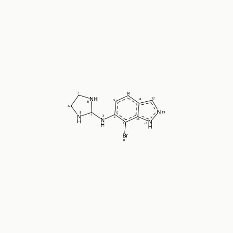 Brc1c(NC2NCCN2)ccc2cn[nH]c12